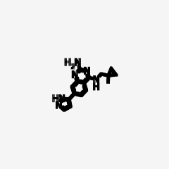 CC1(CNc2nc(N)nc3cc(-c4ccn[nH]4)ccc23)CC1